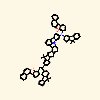 CC1(C)c2ccccc2-c2cc(C(Cc3cccc4c3oc3ccc5ccccc5c34)c3ccc4c(c3)C(C)(C)c3cc5c(ccc6c5c5cccc7c8ccc(N(c9ccc%10c(c9)-c9ccccc9C%10(C)C)c9cccc%10c9oc9ccc%11ccccc%11c9%10)cc8n6c75)cc3-4)ccc21